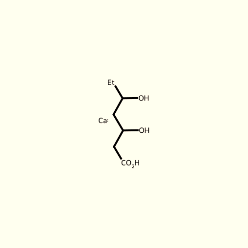 CCC(O)CC(O)CC(=O)O.[Ca]